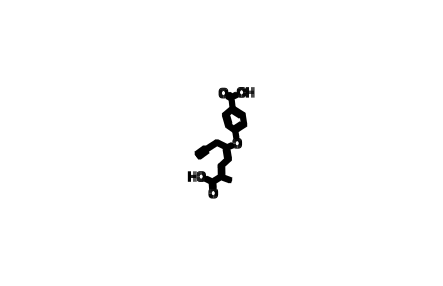 C#CC/C(=C\C=C(/C)C(=O)O)Oc1ccc(C(=O)O)cc1